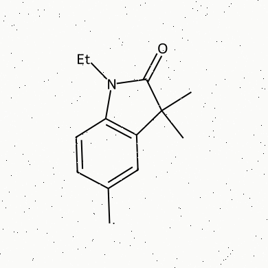 [CH2]c1ccc2c(c1)C(C)(C)C(=O)N2CC